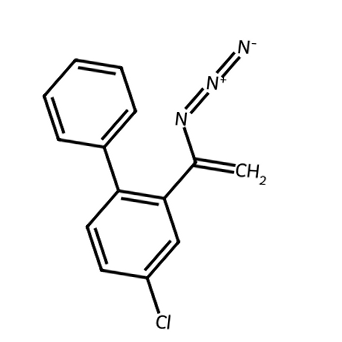 C=C(N=[N+]=[N-])c1cc(Cl)ccc1-c1ccccc1